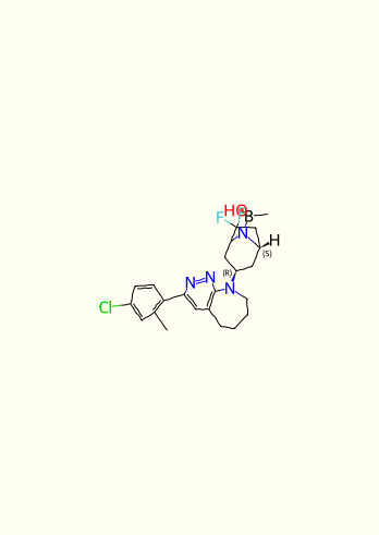 CB(O)N1C2C[C@H](N3CCCCc4cc(-c5ccc(Cl)cc5C)nnc43)C[C@H]1CC2(F)F